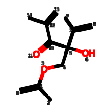 C=C(C)OCC(O)(C(=C)C)C(=O)C(=C)C